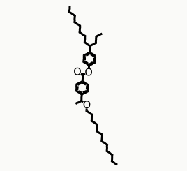 CCCCCCCCCCCCOC(C)c1ccc(C(=O)Oc2ccc(C(CCC)CCCCCCCC)cc2)cc1